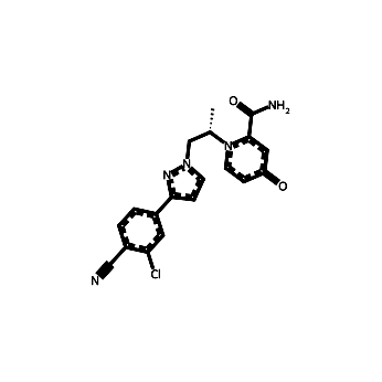 C[C@@H](Cn1ccc(-c2ccc(C#N)c(Cl)c2)n1)n1ccc(=O)cc1C(N)=O